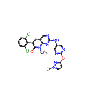 CCn1ccc(Oc2ncc(Nc3ncc4cc(-c5c(Cl)cccc5Cl)c(=O)n(C)c4n3)cn2)n1